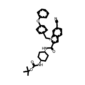 CC(C)(C)OC(=O)N[C@H]1CC[C@H](NC(=O)c2cc3ccc(C#N)cc3n2Cc2ccc(Oc3ccccc3)cc2)CC1